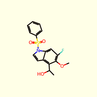 COc1c(F)cc2c(ccn2S(=O)(=O)c2ccccc2)c1C(C)O